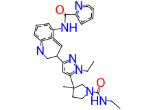 CCNC(=O)N1CCC(C)(c2cc(C3C=c4c(NC(=O)c5ccccn5)cccc4=NC3)nn2CC)C1